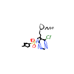 COCCc1cn(S(=O)(=O)c2ccc(C)cc2)c2ncnc(Cl)c12